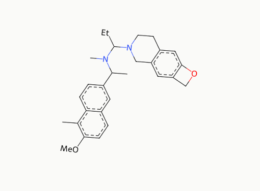 CCC(N1CCc2cc3c(cc2C1)CO3)N(C)C(C)c1ccc2c(C)c(OC)ccc2c1